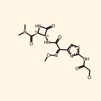 CON=C(C(=O)N[C@@H]1C(=O)N[C@@H]1C(=O)N(C)C)c1csc(NC(=O)CCl)n1